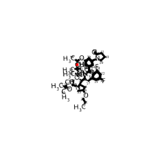 CCCOC1CC([C@@H](O[Si](C)(C)C(C)(C)C)[C@H](Cc2cc(F)cc(F)c2)NC(=O)c2cc(OC(C)C)cc(N3CCCC3=O)c2)N(C(=O)OC(C)(C)C)C1